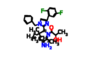 CC(O)C(=O)N(C(C)[C@@H](C)N)[C@@H](c1nc(-c2cc(F)ccc2F)cn1Cc1ccccc1)C(C)(C)C